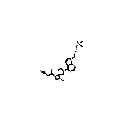 C[C@H]1CN(C(=O)CC#N)[C@]12CCN(c1ncnc3c1ccn3COCC[Si](C)(C)C)C2